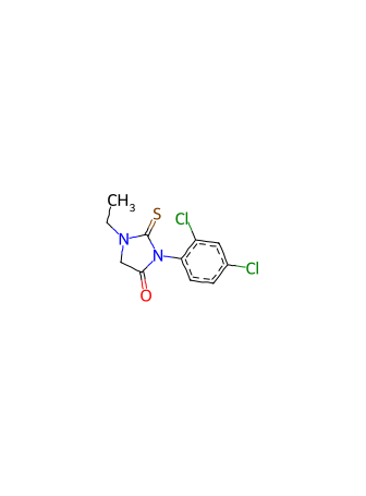 CCN1CC(=O)N(c2ccc(Cl)cc2Cl)C1=S